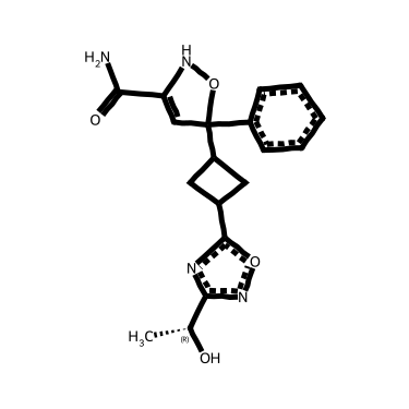 C[C@@H](O)c1noc(C2CC(C3(c4ccccc4)C=C(C(N)=O)NO3)C2)n1